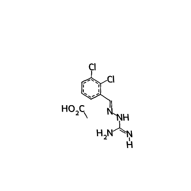 CC(=O)O.[H]/N=C(\N)NN=Cc1cccc(Cl)c1Cl